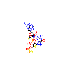 Nc1nc2c(nnn2[C@@H]2S[C@H](CO[PH](=O)S)[C@@H](O)[C@H]2OP(=O)(S)OC2[C@H]3O[C@@H](c4cnc5c(N)ncnn45)C[C@@]23O)c(=O)[nH]1